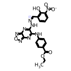 CCOC(=O)c1ccc(Nc2nc3nonc3nc2N/N=C\c2cccc([N+](=O)[O-])c2O)cc1